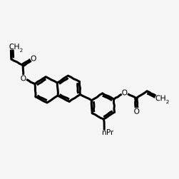 C=CC(=O)Oc1cc(CCC)cc(-c2ccc3cc(OC(=O)C=C)ccc3c2)c1